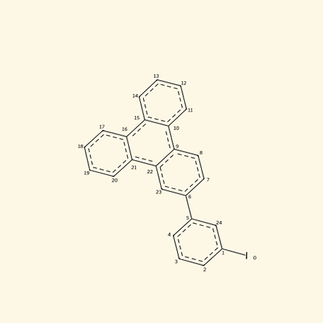 Ic1cccc(-c2ccc3c4ccccc4c4ccccc4c3c2)c1